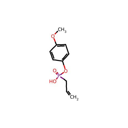 C=CCP(=O)(O)Oc1ccc(OC)cc1